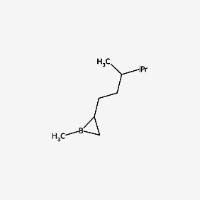 CB1CC1CCC(C)C(C)C